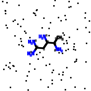 CC(N)C(N)CC(N)N